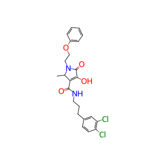 CC1C(C(=O)NCCCc2ccc(Cl)c(Cl)c2)=C(O)C(=O)N1CCOc1ccccc1